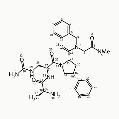 CNC(=O)CN(Cc1ccccc1)C(=O)[C@@H]1C[C@H](c2ccccc2)CN1C(=O)[C@H](CNC(N)=O)NC(=O)[C@H](C)N